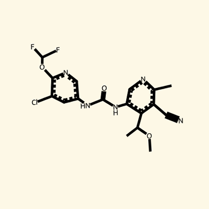 COC(C)c1c(NC(=O)Nc2cnc(OC(F)F)c(Cl)c2)cnc(C)c1C#N